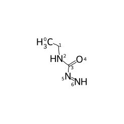 CCNC(=O)N=N